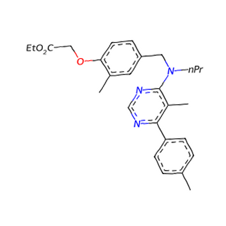 CCCN(Cc1ccc(OCC(=O)OCC)c(C)c1)c1ncnc(-c2ccc(C)cc2)c1C